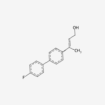 CC(=CCO)c1ccc(-c2ccc(F)cc2)cc1